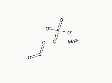 O=S(=O)([O-])[O-].O=S=O.[Mn+2]